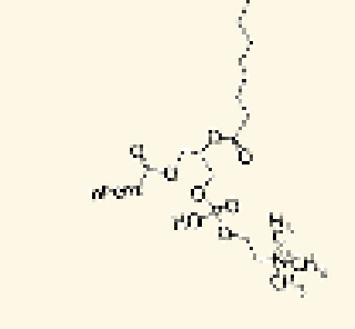 CCCCCCCCCCCCCCCCCC(=O)OC(COC(=O)CCCCC)COP(=O)(O)OCC[N+](C)(C)C